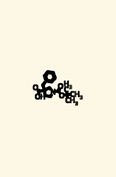 CC(C)(C)OC(=O)N1CCC(Cc2ccccc2)(C(=O)O)C1